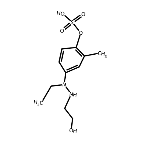 CCN(NCCO)c1ccc(OS(=O)(=O)O)c(C)c1